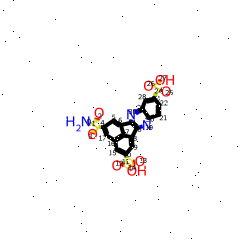 NS(=O)(=O)c1cc2c3c(cc(S(=O)(=O)O)cc3c1)-c1nc3ccc(S(=O)(=O)O)cc3nc1-2